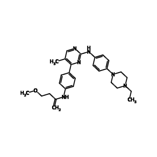 C=C(CCOC)Nc1ccc(-c2nc(Nc3ccc(N4CCN(CC)CC4)cc3)ncc2C)cc1